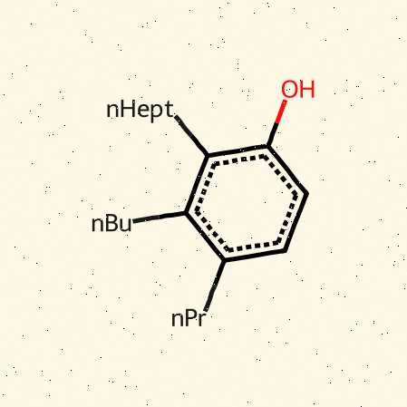 CCCCCCCc1c(O)ccc(CCC)c1CCCC